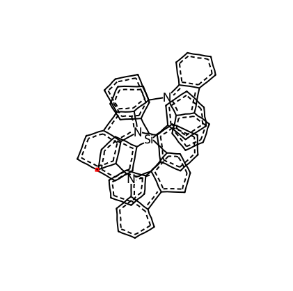 c1ccc(-c2ccccc2-n2c3c(-n4c5ccccc5c5ccccc54)cccc3c3cccc(-n4c5ccccc5c5cccc([Si](c6ccccc6)(c6ccccc6)c6ccccc6)c54)c32)cc1